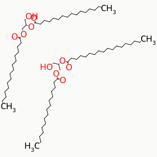 CCCCCCCCCCCCCCCC(=O)OCC(CO)OC(=O)CCCCCCCCCCCCCCC.CCCCCCCCCCCCCCCCCC(=O)OC(CO)COC(=O)CCCCCCCCCCCCCCC